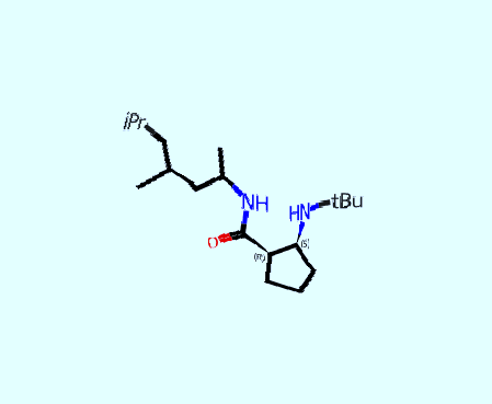 CC(C)CC(C)CC(C)NC(=O)[C@@H]1CCC[C@@H]1NC(C)(C)C